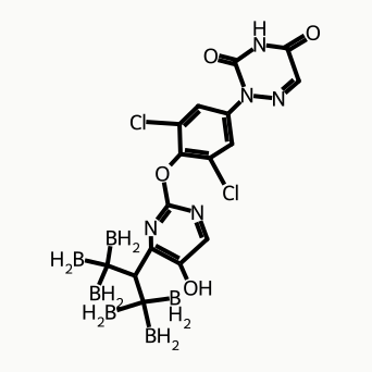 BC(B)(B)C(c1nc(Oc2c(Cl)cc(-n3ncc(=O)[nH]c3=O)cc2Cl)ncc1O)C(B)(B)B